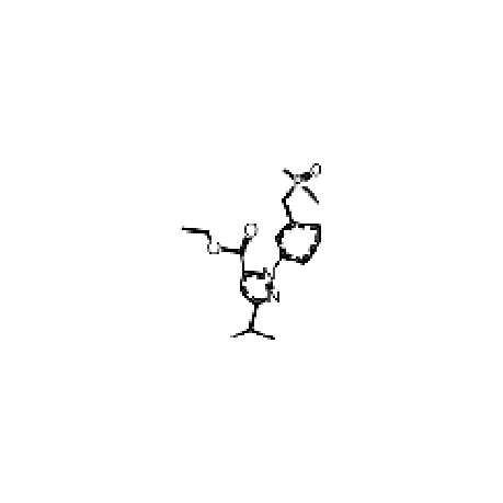 CCOC(=O)c1cc(C(C)C)nn1-c1cccc(CP(C)(C)=O)c1